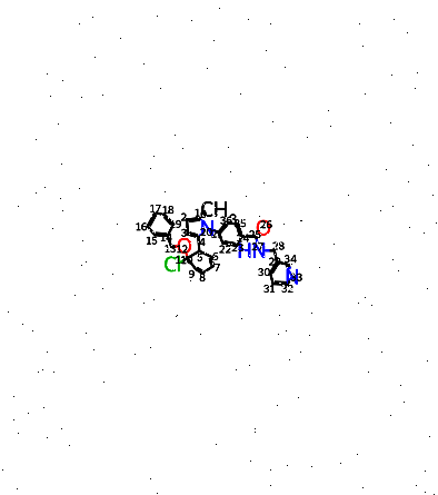 Cc1ccc(C2C=CC=CC2(Cl)OCc2ccccc2)n1-c1ccc(C(=O)NCc2cccnc2)cc1